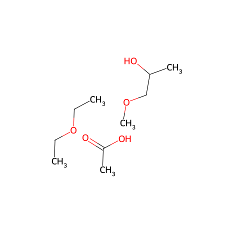 CC(=O)O.CCOCC.COCC(C)O